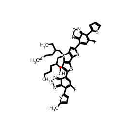 CCCCC(CC)CS1(CC(CC)CCCC)c2cc(-c3cc(F)c(-c4cccs4)c4nsnc34)sc2-c2sc(-c3cc(F)c(-c4ccc(C)s4)c4nsnc34)cc21